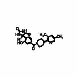 Cc1cnc(N2CCN(C(=O)c3ccc(C4(C(C)C)NC(=O)NC4=O)c(O)c3)CC2)c(C)c1